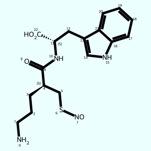 NCCC[C@H](CSN=O)C(=O)N[C@@H](Cc1c[nH]c2ccccc12)C(=O)O